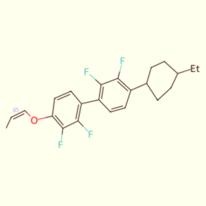 C/C=C\Oc1ccc(-c2ccc(C3CCC(CC)CC3)c(F)c2F)c(F)c1F